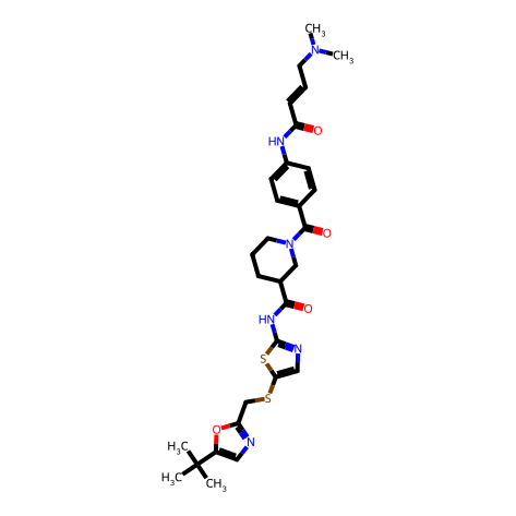 CN(C)CC=CC(=O)Nc1ccc(C(=O)N2CCCC(C(=O)Nc3ncc(SCc4ncc(C(C)(C)C)o4)s3)C2)cc1